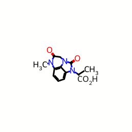 CC(C(=O)O)n1c(=O)n2c3c(cccc31)N(C)C(=O)C2